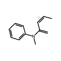 C=C(/C=C\C)N(C)c1ccccc1